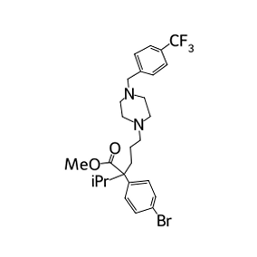 COC(=O)C(CCCN1CCN(Cc2ccc(C(F)(F)F)cc2)CC1)(c1ccc(Br)cc1)C(C)C